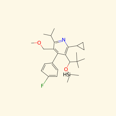 COCc1c(C(C)C)nc(C2CC2)c(C(O[SiH](C)C)C(C)(C)C)c1-c1ccc(F)cc1